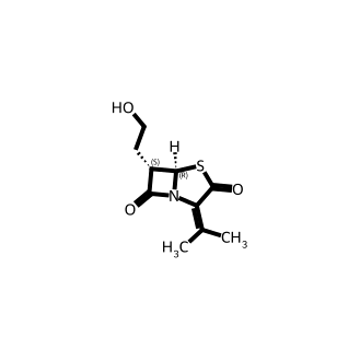 CC(C)=C1C(=O)S[C@@H]2[C@@H](CCO)C(=O)N12